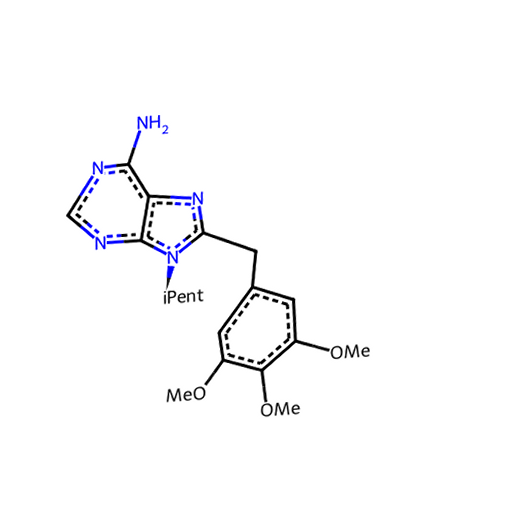 CCC[C@H](C)n1c(Cc2cc(OC)c(OC)c(OC)c2)nc2c(N)ncnc21